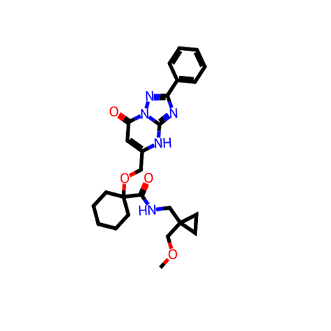 COCC1(CNC(=O)C2(OCc3cc(=O)n4nc(-c5ccccc5)nc4[nH]3)CCCCC2)CC1